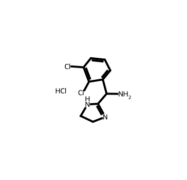 Cl.NC(C1=NCCN1)c1cccc(Cl)c1Cl